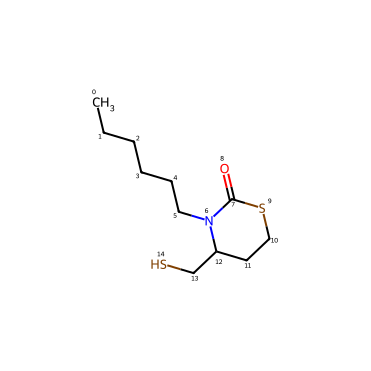 CCCCCCN1C(=O)SCCC1CS